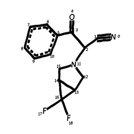 N#CC(C(=O)c1ccccc1)N1CC2C(C1)C2(F)F